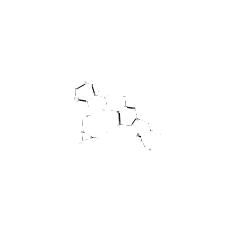 CC(Cc1cc(F)c(OCc2cccnc2SCC2CC2)c(F)c1)C(=O)O